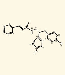 O=C(/C=C/c1ccccc1)NC[C@H](Cc1ccc(Cl)cc1)c1ccc(Cl)cc1